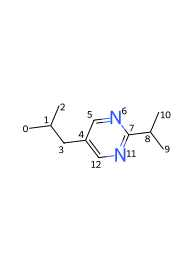 CC(C)Cc1cnc(C(C)C)nc1